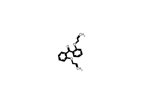 C=CCOc1ccccc1C(=O)c1ccccc1OCC=C